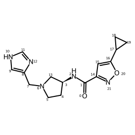 O=C(N[C@H]1CCN(Cc2c[nH]cn2)C1)c1cc(C2CC2)on1